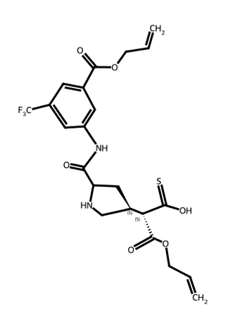 C=CCOC(=O)c1cc(NC(=O)C2C[C@@H]([C@@H](C(=O)OCC=C)C(O)=S)CN2)cc(C(F)(F)F)c1